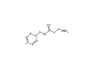 NCCC(=O)OCC1C=CC=CC1